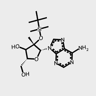 CC(C)(C)[Si](C)(C)O[C@@]1(C)C(O)[C@@H](CO)O[C@H]1n1cnc2c(N)ncnc21